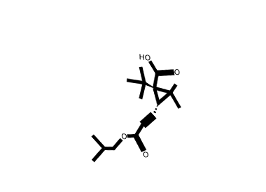 CC(C)COC(=O)C#C[C@H]1C(C)(C)[C@]1(C(=O)O)C(C)(C)C